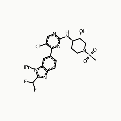 CC(C)n1c(C(F)F)nc2ccc(-c3nc(N[C@@H]4CCN(S(C)(=O)=O)C[C@H]4O)ncc3Cl)cc21